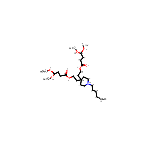 CCCCCCCCCCOC(CCC(=O)OCCC1(CCOC(=O)CCC(OCCCCCCCCCC)OCCCCCCCCCC)CCN(CCCCOC)CC1)OCCCCCCCCCC